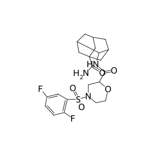 NC(=O)C12CC3CC(C1)C(NC(=O)C1CN(S(=O)(=O)c4cc(F)ccc4F)CCO1)C(C3)C2